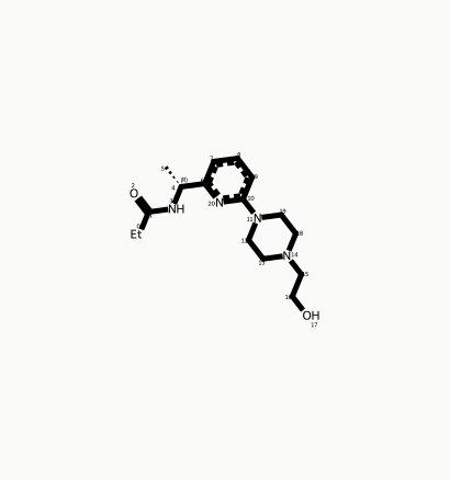 CCC(=O)N[C@H](C)c1cccc(N2CCN(CCO)CC2)n1